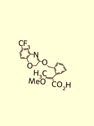 COC(C)=C(C(=O)O)c1ccccc1COC1=Nc2cc(C(F)(F)F)ccc2OC1